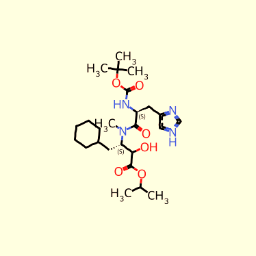 CC(C)OC(=O)C(O)[C@H](CC1CCCCC1)N(C)C(=O)[C@H](Cc1c[nH]cn1)NC(=O)OC(C)(C)C